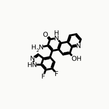 Nc1c(-c2cc(F)c(F)c3[nH]ncc23)c2cc(O)c3ncccc3c2[nH]c1=O